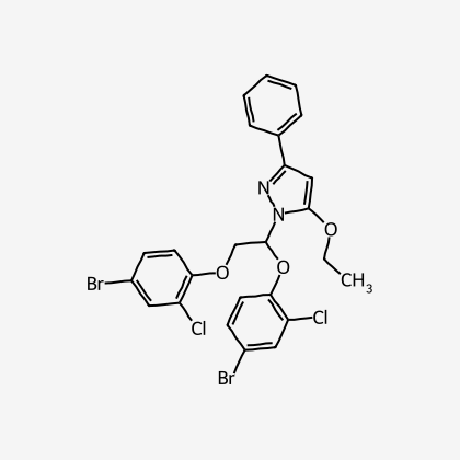 CCOc1cc(-c2ccccc2)nn1C(COc1ccc(Br)cc1Cl)Oc1ccc(Br)cc1Cl